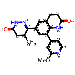 COc1cc(-c2cc(C3=NNC(=O)CC3C)cc3c2NC(=O)CC3)ccn1